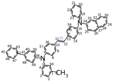 Cc1cccc(N(c2ccc(/C=C/c3ccc(N(c4ccccc4)c4ccc5ccccc5c4)cc3)cc2)c2ccc(-c3ccccc3)cc2)c1